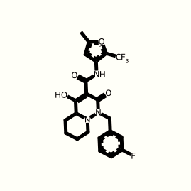 Cc1cc(NC(=O)C2=C(O)C3CCCCN3N(Cc3cccc(F)c3)C2=O)c(C(F)(F)F)o1